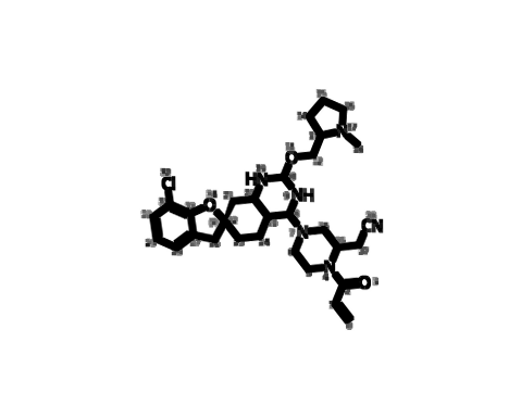 C=CC(=O)N1CCN(C2NC(OCC3CCCN3C)NC3C[C@@]4(CCC32)Cc2cccc(Cl)c2O4)CC1CC#N